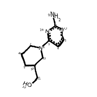 Nc1nccc(N2CCCC(CO)C2)n1